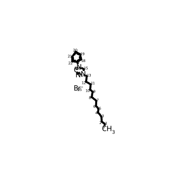 CCCCCCCCCCCCCCN1CN(c2ccccc2)[C+]=N1.[Br-]